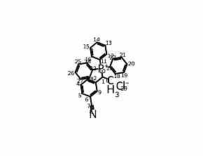 CC(c1cccc(C#N)c1)[P+](c1ccccc1)(c1ccccc1)c1ccccc1.[Cl-]